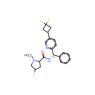 O=C(N[C@@H](c1ccccc1)c1ccc(C2CC(F)(F)C2)cn1)C1CC(F)CN1C(=O)O